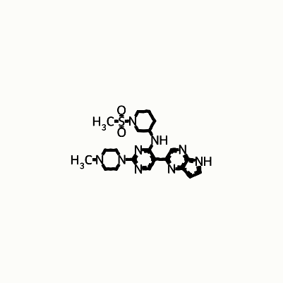 CN1CCN(c2ncc(-c3cnc4[nH]ccc4n3)c(NC3CCCN(S(C)(=O)=O)C3)n2)CC1